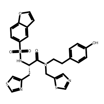 O=C([C@H](Cc1cscn1)NS(=O)(=O)c1ccc2occc2c1)N(CCc1ccc(O)cc1)Cc1cncs1